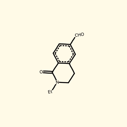 CCN1CCc2cc(C=O)ccc2C1=O